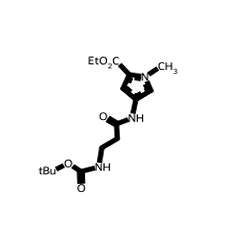 CCOC(=O)c1cc(NC(=O)CCNC(=O)OC(C)(C)C)cn1C